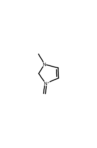 C=[N+]1C=CN(C)C1